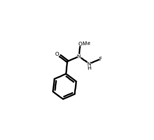 CON(NF)C(=O)c1ccccc1